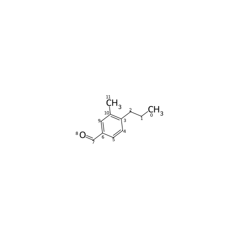 CCCc1ccc(C=O)cc1C